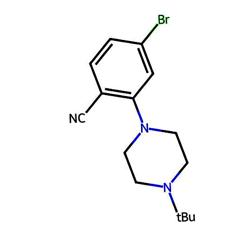 CC(C)(C)N1CCN(c2cc(Br)ccc2C#N)CC1